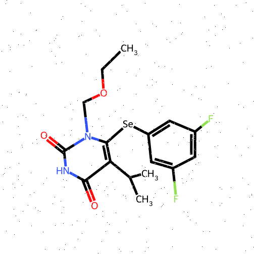 CCOCn1c([Se]c2cc(F)cc(F)c2)c(C(C)C)c(=O)[nH]c1=O